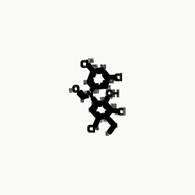 CCc1c(Cl)cc(N(C=O)c2cc(Cl)cc(Cl)c2)c(O)c1Cl